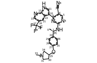 C[C@@H](Nc1ncc(C#N)c(-c2c[nH]c3ncc(C(F)(F)F)cc23)n1)c1ccc(OC2CCN(C)C2)cc1